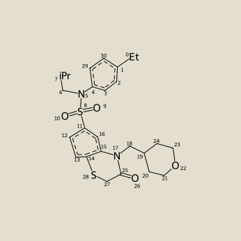 CCc1ccc(N(CC(C)C)S(=O)(=O)c2ccc3c(c2)N(CC2CCOCC2)C(=O)CS3)cc1